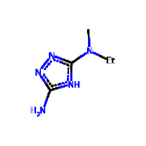 CCN(C)c1nnc(N)[nH]1